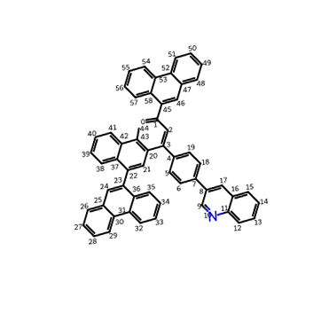 C=C(/C=C(/c1ccc(-c2cnc3ccccc3c2)cc1)c1cc(-c2cc3ccccc3c3ccccc23)c2ccccc2c1C)c1cc2ccccc2c2ccccc12